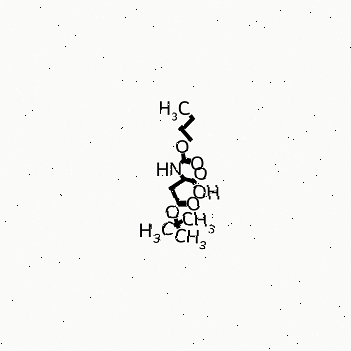 CCCCOC(=O)NC(CC(=O)OC(C)(C)C)C(=O)O